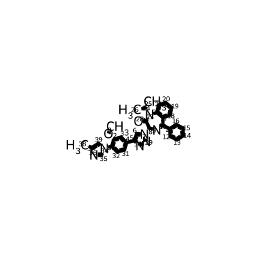 COc1cc(-c2cn(C3N=C(c4ccccc4)c4ccccc4N(C(C)C)C3=O)nn2)ccc1-n1cnc(C)c1